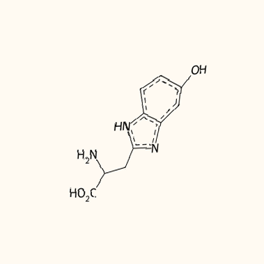 NC(Cc1nc2cc(O)ccc2[nH]1)C(=O)O